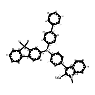 Cn1c(C(C)(C)C)c(-c2ccc(N(c3ccc(-c4ccccc4)cc3)c3ccc4c(c3)C(C)(C)c3ccccc3-4)cc2)c2ccccc21